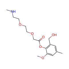 CNCCOCCOCC(=O)Oc1c(CO)cc(C)cc1OC